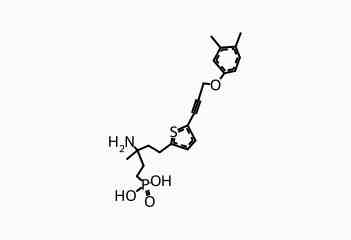 Cc1ccc(OCC#Cc2ccc(CCC(C)(N)CCP(=O)(O)O)s2)cc1C